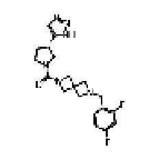 O=C(N1CC[C@H](c2cnn[nH]2)C1)N1CC2(CN(Cc3ccc(F)cc3F)C2)C1